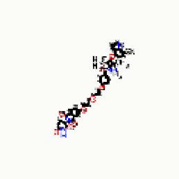 CC1(C)[C@H](NC(=O)c2ccc(OCCCOCCCOc3ccc4c(c3)C(=O)N(C3CCC(=O)NC3=O)C4=O)cc2)C(C)(C)[C@H]1Oc1ccc(C#N)c2ncccc12